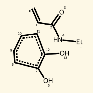 C=CC(=O)NCC.Oc1ccccc1O